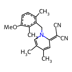 COc1ccc(C)c(CN2C=C(C)C(C)=CC2=C(C#N)C#N)c1C